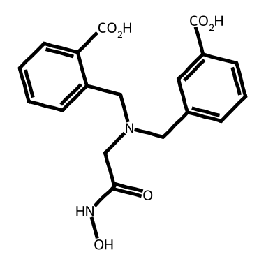 O=C(CN(Cc1cccc(C(=O)O)c1)Cc1ccccc1C(=O)O)NO